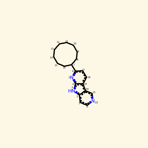 c1cc2[nH]c3nc(C4CCCCCCCCC4)ccc3c2cn1